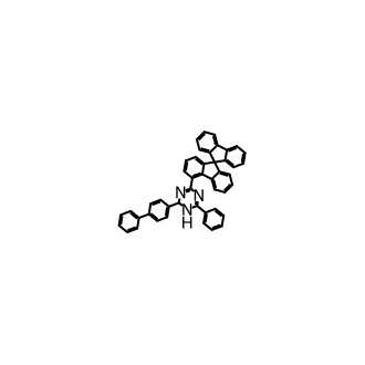 c1ccc(C2=NC(c3cccc4c3-c3ccccc3C43c4ccccc4-c4ccccc43)=NC(c3ccc(-c4ccccc4)cc3)N2)cc1